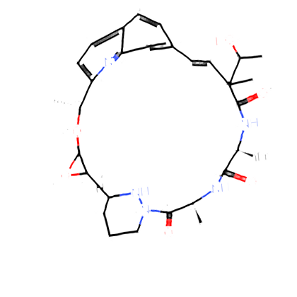 CC(C)[C@@H]1NC(=O)C(C)(C(C)O)/C=C/c2ccc3ccc(nc3c2)[C@@H](C)OC2OC2[C@@H]2CCCN(N2)C(=O)[C@H](C)NC1=O